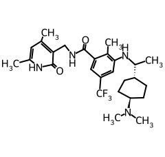 Cc1cc(C)c(CNC(=O)c2cc(C(F)(F)F)cc(NC(C)[C@H]3CC[C@H](N(C)C)CC3)c2C)c(=O)[nH]1